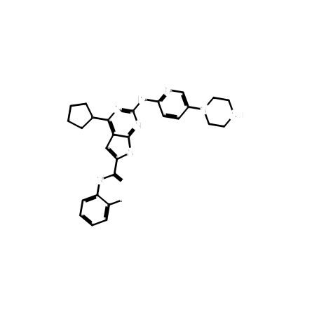 O=C(Nc1ccccc1F)c1cc2c(C3CCCC3)nc(Nc3ccc(N4CCNCC4)cn3)nc2[nH]1